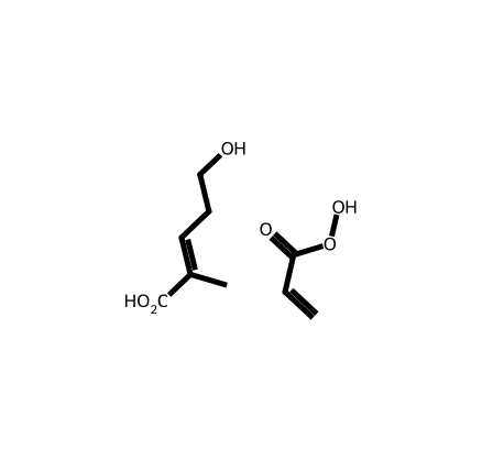 C=CC(=O)OO.CC(=CCCO)C(=O)O